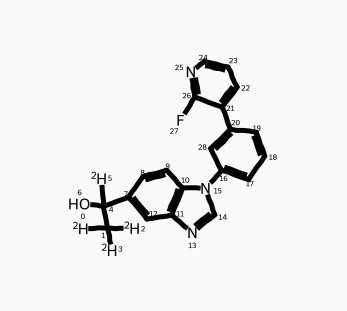 [2H]C([2H])([2H])C([2H])(O)c1ccc2c(c1)ncn2-c1cccc(-c2cccnc2F)c1